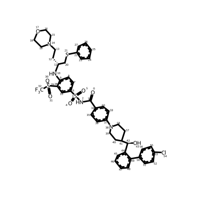 O=C(NS(=O)(=O)c1ccc(N[C@H](CCN2CCOCC2)CSc2ccccc2)c(S(=O)(=O)C(F)(F)F)c1)c1ccc(N2CCC([C@@H](O)c3ccccc3-c3ccc(Cl)cc3)CC2)cc1